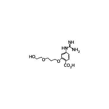 N=C(N)Nc1ccc(C(=O)O)c(OCCCOCCO)c1